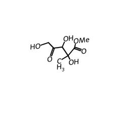 COC(=O)C(C)(O)C(O)C(=O)CO